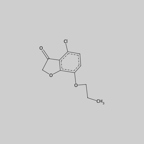 CCCOc1ccc(Cl)c2c1OCC2=O